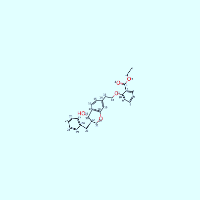 CCOC(=O)c1ccccc1OCCc1ccc2c(c1)OC[C@@H](Cc1ccccc1)[C@@H]2O